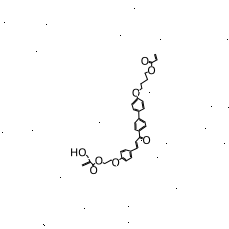 C=CC(=O)OCCCCOc1ccc(-c2ccc(C(=O)/C=C/c3ccc(OCCOC(=O)C(=C)CO)cc3)cc2)cc1